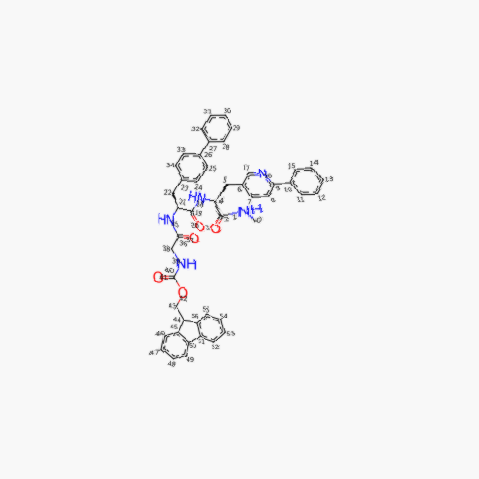 CNC(=O)[C@H](Cc1ccc(-c2ccccc2)nc1)NC(=O)[C@H](Cc1ccc(-c2ccccc2)cc1)NC(=O)CNC(=O)OCC1c2ccccc2-c2ccccc21